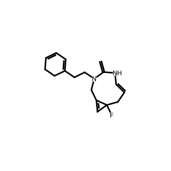 C=C1N/C=C/CC2(F)C=C2CN1CCC1=CC=CCC1